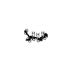 CCOC(=O)c1nc(NC(=O)CCNC(=O)c2cc(NC(=O)c3nccn3C)cn2C)cn1CCCCOC(C)=O